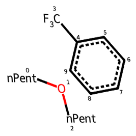 CCCCCOCCCCC.FC(F)(F)c1ccccc1